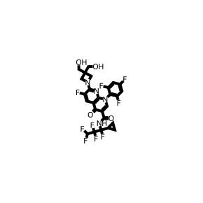 O=C(NC(F)(C1CC1)C(F)(F)C(F)F)c1cn(-c2c(F)cc(F)cc2F)c2nc(N3CC(CO)(CO)C3)c(F)cc2c1=O